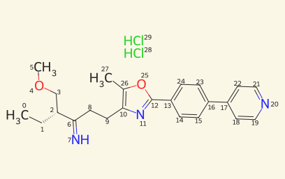 CC[C@H](COC)C(=N)CCc1nc(-c2ccc(-c3ccncc3)cc2)oc1C.Cl.Cl